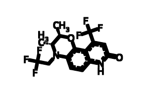 C[C@@H]1[C@@H](C)Oc2c(ccc3[nH]c(=O)cc(C(F)(F)F)c23)N1CC(F)(F)F